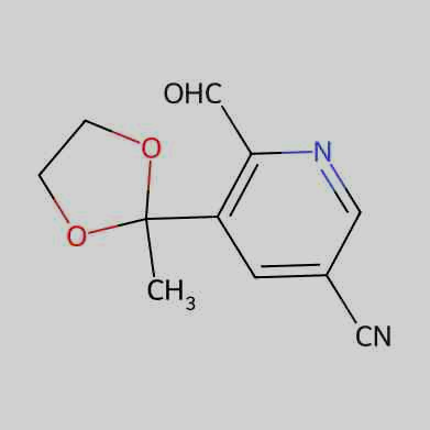 CC1(c2cc(C#N)cnc2C=O)OCCO1